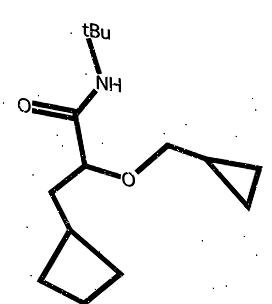 CC(C)(C)NC(=O)C(CC1CCC1)OCC1CC1